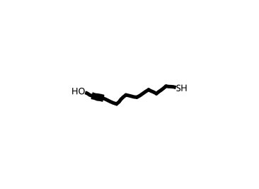 OC#CCCCCCCS